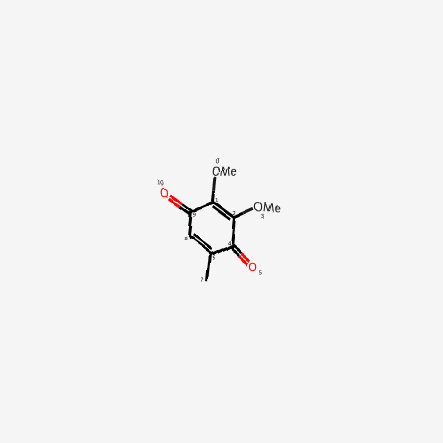 COC1=C(OC)C(=O)C(C)=[C]C1=O